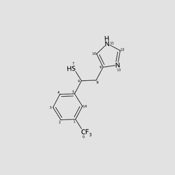 FC(F)(F)c1cccc(C(S)Cc2c[nH]cn2)c1